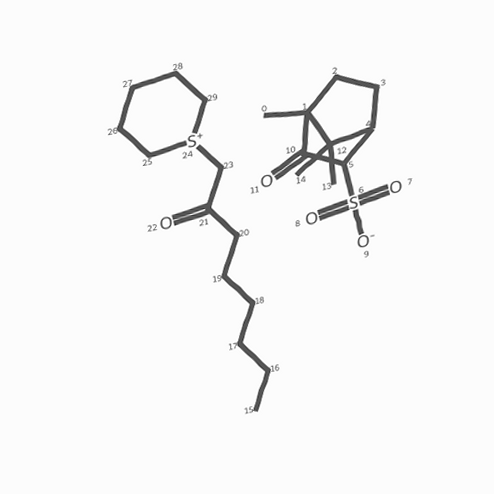 CC12CCC(C(S(=O)(=O)[O-])C1=O)C2(C)C.CCCCCCC(=O)C[S+]1CCCCC1